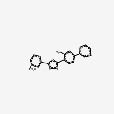 Cc1cc(-c2ccccc2)ccc1-c1nnc(-c2cccc(C(=O)O)c2)o1